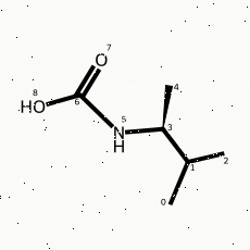 CC(C)[C@H](C)NC(=O)O